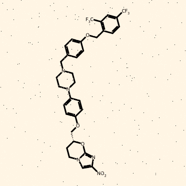 O=[N+]([O-])c1cn2c(n1)O[C@@H](COc1ccc(N3CCN(Cc4ccc(OCc5ccc(C(F)(F)F)cc5C(F)(F)F)cc4)CC3)cc1)CC2